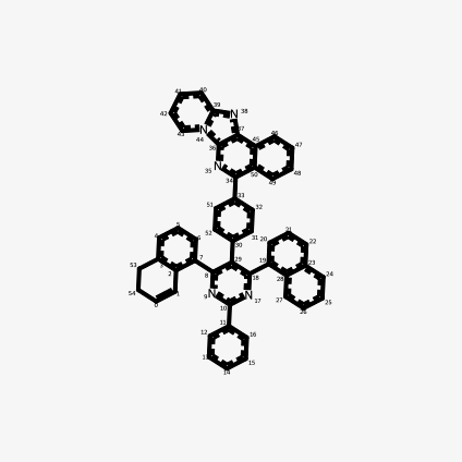 C1=Cc2c(cccc2-c2nc(-c3ccccc3)nc(-c3cccc4ccccc34)c2-c2ccc(-c3nc4c(nc5ccccn54)c4ccccc34)cc2)CC1